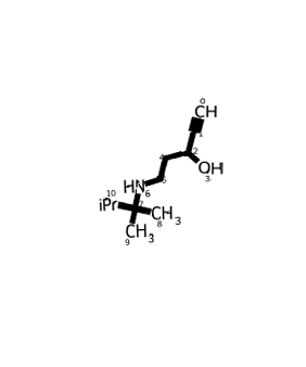 C#CC(O)CCNC(C)(C)C(C)C